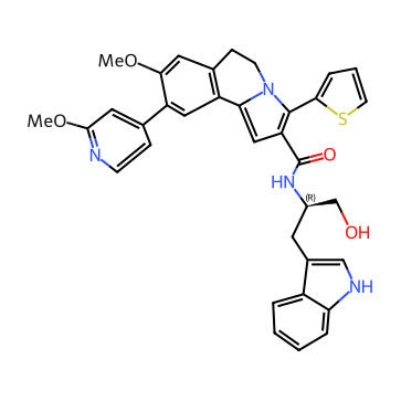 COc1cc(-c2cc3c(cc2OC)CCn2c-3cc(C(=O)N[C@@H](CO)Cc3c[nH]c4ccccc34)c2-c2cccs2)ccn1